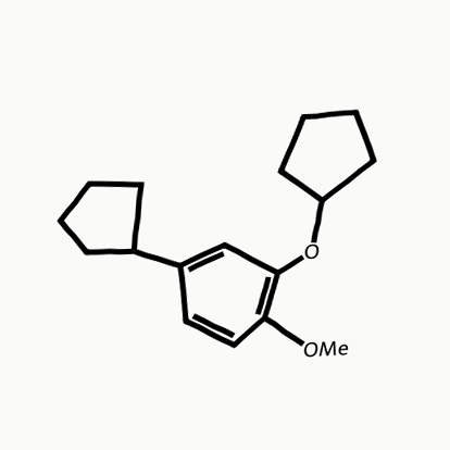 COc1ccc(C2CCCC2)cc1OC1CCCC1